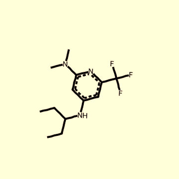 CCC(CC)Nc1cc(N(C)C)nc(C(F)(F)F)c1